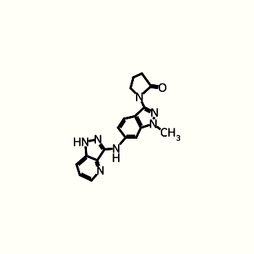 Cn1nc(N2CCCC2=O)c2ccc(Nc3n[nH]c4cccnc34)cc21